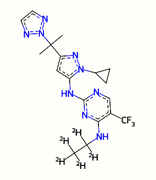 [2H]C([2H])([2H])C([2H])([2H])Nc1nc(Nc2cc(C(C)(C)n3nccn3)nn2C2CC2)ncc1C(F)(F)F